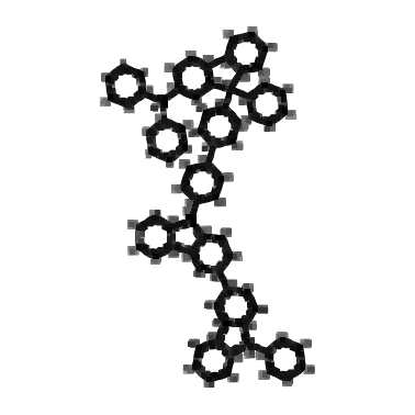 c1ccc(N(c2ccccc2)c2ccc3c(c2)C(c2ccccc2)(c2ccc(-c4ccc(-n5c6ccccc6c6cc(-c7ccc8c(c7)c7ccccc7n8-c7ccccc7)ccc65)cc4)cc2)c2ccccc2-3)cc1